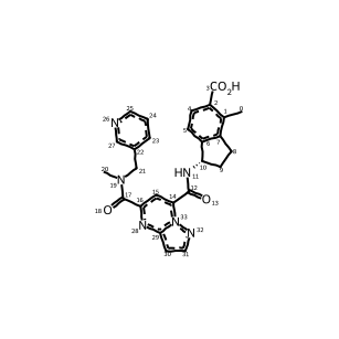 Cc1c(C(=O)O)ccc2c1CC[C@@H]2NC(=O)c1cc(C(=O)N(C)Cc2cccnc2)nc2ccnn12